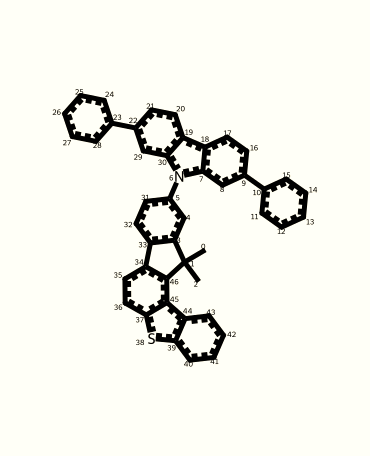 CC1(C)c2cc(-n3c4cc(-c5ccccc5)ccc4c4ccc(-c5ccccc5)cc43)ccc2-c2ccc3sc4ccccc4c3c21